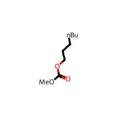 [CH2]OC(=O)OCCCCCCC